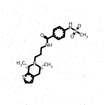 C[C@@H]1Cc2ccsc2[C@H](C)N1CCCNC(=O)c1ccc(NS(C)(=O)=O)cc1